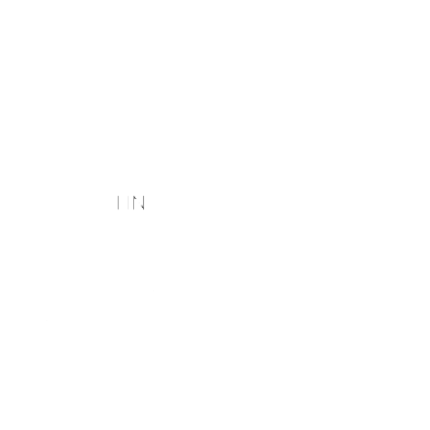 CCC(C)c1ccc2c3c([nH]c2c1)CCCC3